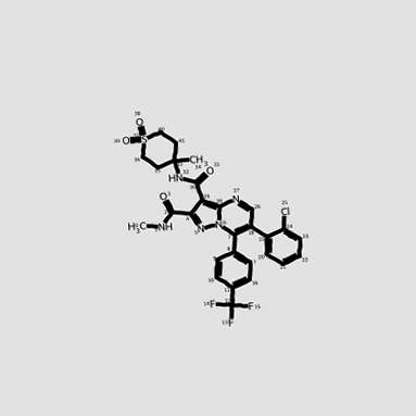 CNC(=O)c1nn2c(-c3ccc(C(F)(F)F)cc3)c(-c3ccccc3Cl)cnc2c1C(=O)NC1(C)CCS(=O)(=O)CC1